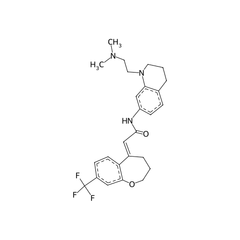 CN(C)CCN1CCCc2ccc(NC(=O)/C=C3\CCCOc4cc(C(F)(F)F)ccc43)cc21